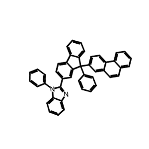 c1ccc(-n2c(-c3ccc4c(c3)C(c3ccccc3)(c3ccc5c(ccc6ccccc65)c3)c3ccccc3-4)nc3ccccc32)cc1